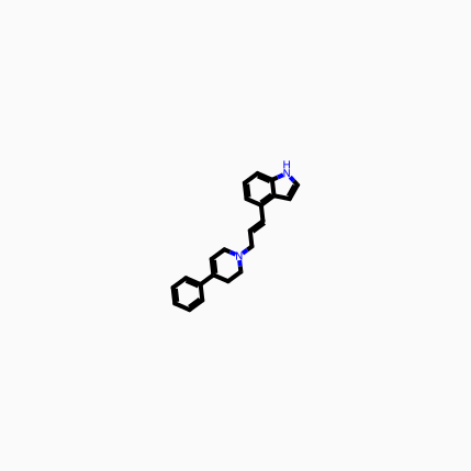 C(=Cc1cccc2[nH]ccc12)CN1CC=C(c2ccccc2)CC1